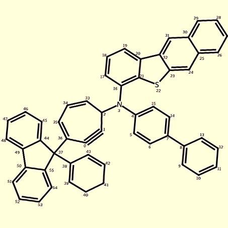 C1#CC(N(c2ccc(-c3ccccc3)cc2)c2cccc3c2sc2cc4ccccc4cc23)C=CC=C1C1(C2=CCCC=C2)c2ccccc2-c2ccccc21